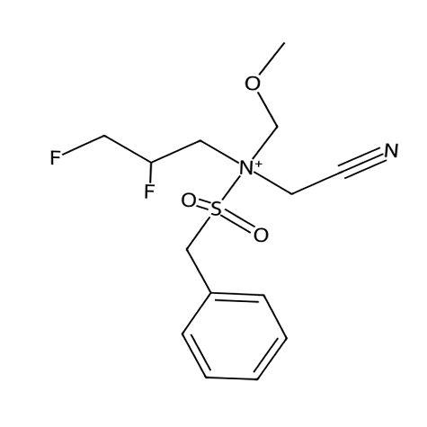 COC[N+](CC#N)(CC(F)CF)S(=O)(=O)Cc1ccccc1